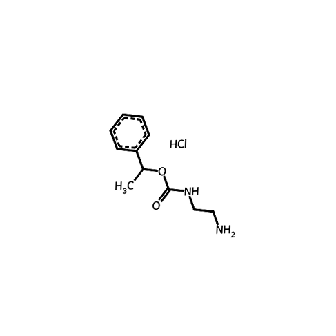 CC(OC(=O)NCCN)c1ccccc1.Cl